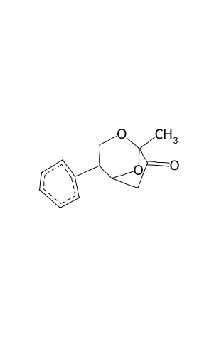 CC12OCC(c3ccccc3)C(CC1=O)O2